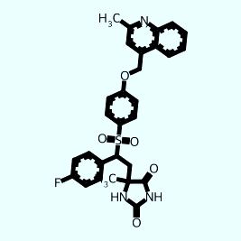 Cc1cc(COc2ccc(S(=O)(=O)C(CC3(C)NC(=O)NC3=O)c3ccc(F)cc3)cc2)c2ccccc2n1